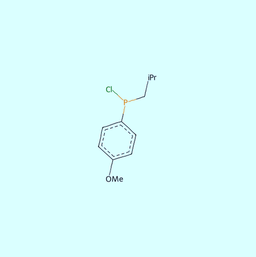 COc1ccc(P(Cl)CC(C)C)cc1